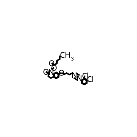 CCCCCC(=O)OCN1C(=O)CCc2ccc(OCCCCN3CCN(c4cccc(Cl)c4Cl)CC3)cc21